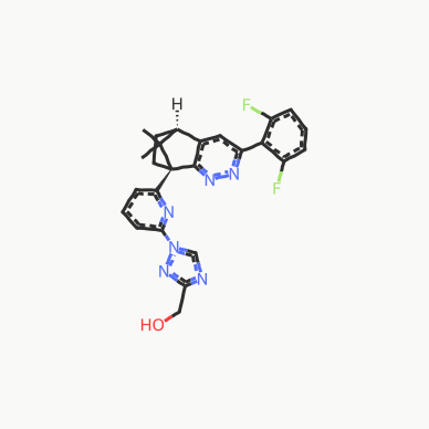 CC1(C)[C@H]2CC[C@@]1(c1cccc(-n3cnc(CO)n3)n1)c1nnc(-c3c(F)cccc3F)cc12